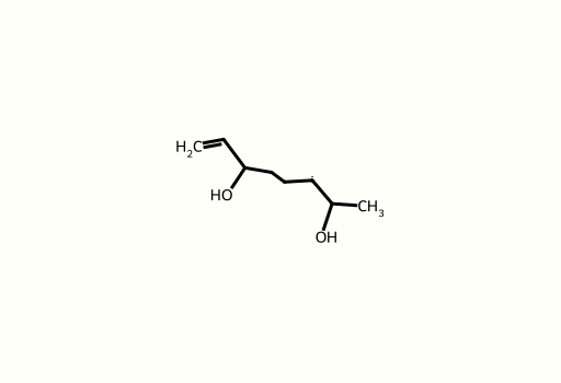 C=CC(O)CC[CH]C(C)O